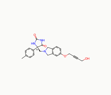 Cc1ccc([C@]2(CN3Cc4ccc(OCC#CCO)cc4C3)NC(=O)NC2=O)cc1